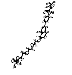 CN(C(=O)OC(C)(C)C)c1ccc(-c2ccc3cc(OCCOCCOCCOS(C)(=O)=O)ccc3c2)cc1